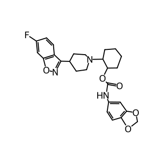 O=C(Nc1ccc2c(c1)OCO2)OC1CCCCC1N1CCC(c2noc3cc(F)ccc23)CC1